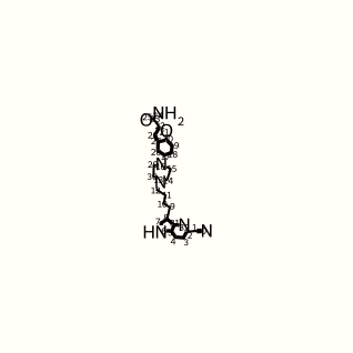 N#Cc1ccc2[nH]cc(CCCCN3CCN(c4ccc5oc(C(N)=O)cc5c4)CC3)c2n1